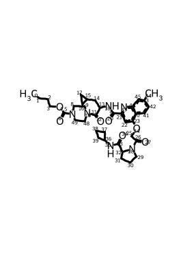 CCCCOC(=O)N1CCN(C(=O)C(CC2CC2)NC(=O)c2cc(OCC(=O)N3CCCC3C(=O)NC3CCC3)c3ccc(C)cc3n2)CC1